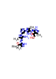 COC(=O)c1c(C)n[nH]c1/N=N/c1c(C)nn(-c2cc(-n3nc(C)c(/N=N/c4[nH]nc(C)c4C(=O)CO)c3N)ncn2)c1N